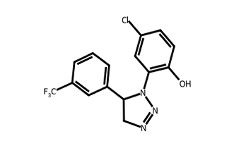 Oc1ccc(Cl)cc1N1N=NCC1c1cccc(C(F)(F)F)c1